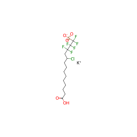 O=C(O)CCCCCCCCC(Cl)CC(F)(F)C(F)(F)C(F)(F)S(=O)(=O)[O-].[K+]